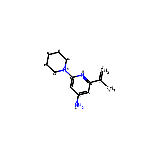 C=C(C)c1cc(N)cc(N2CCCCC2)n1